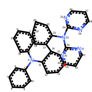 c1ccc(N(c2ccccc2)c2ccccc2-c2ccccc2N(c2ncccn2)c2ncccn2)cc1